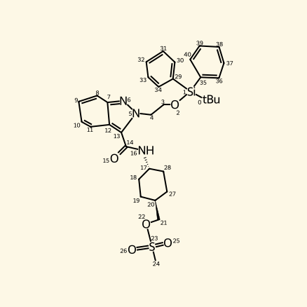 CC(C)(C)[Si](OCCn1nc2ccccc2c1C(=O)N[C@H]1CC[C@H](COS(C)(=O)=O)CC1)(c1ccccc1)c1ccccc1